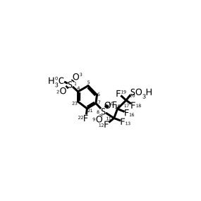 CS(=O)(=O)c1ccc(S(=O)(=O)C(F)(F)C(F)(F)C(F)(F)S(=O)(=O)O)c(F)c1